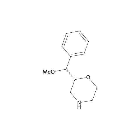 COC(c1ccccc1)[C@H]1CNCCO1